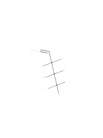 C=CC(F)(F)C(F)(F)C(C)(F)C(F)(F)F